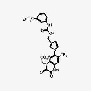 CCOC(=O)c1cccc(NC(=O)NCc2ccn(-c3cc4c(cc3C(F)(F)F)[nH]c(=O)c(=O)n4CC(=O)O)c2)c1